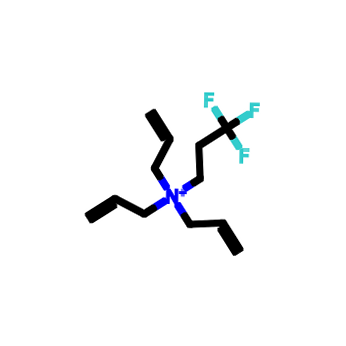 C=CC[N+](CC=C)(CC=C)CCC(F)(F)F